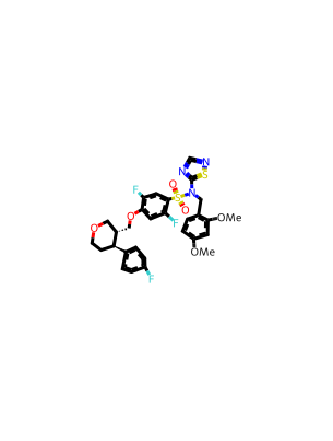 COc1ccc(CN(c2ncns2)S(=O)(=O)c2cc(F)c(OC[C@H]3COCC[C@@H]3c3ccc(F)cc3)cc2F)c(OC)c1